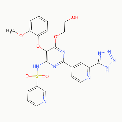 COc1ccccc1Oc1c(NS(=O)(=O)c2cccnc2)nc(-c2ccnc(-c3nnn[nH]3)c2)nc1OCCO